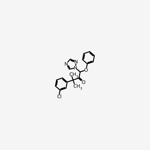 CC(C)(C(=O)C(Oc1ccccc1)n1cncn1)c1cccc(Cl)c1